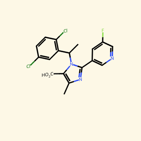 Cc1nc(-c2cncc(F)c2)n(C(C)c2cc(Cl)ccc2Cl)c1C(=O)O